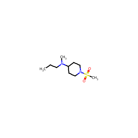 CCCN(C)C1CCN(S(C)(=O)=O)CC1